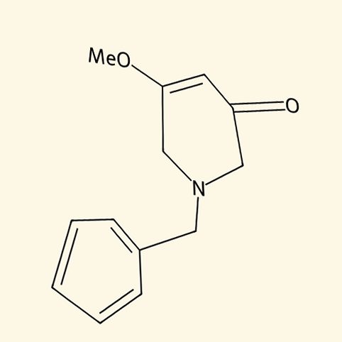 COC1=CC(=O)CN(Cc2ccccc2)C1